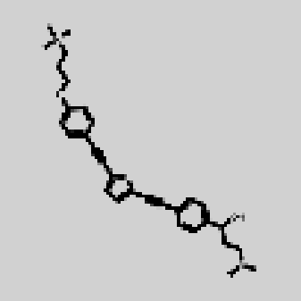 CN(C)CCC(O)c1ccc(C#Cc2ccc(C#Cc3ccc(OCCC[N+](C)(C)C)cc3)s2)cc1